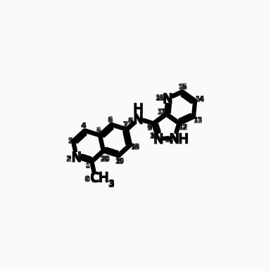 Cc1nccc2cc(Nc3n[nH]c4cccnc34)ccc12